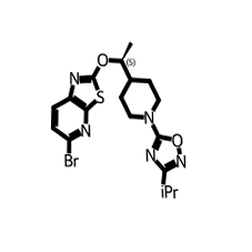 CC(C)c1noc(N2CCC([C@H](C)Oc3nc4ccc(Br)nc4s3)CC2)n1